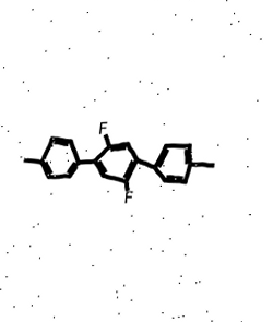 Cc1ccc(-c2cc(F)c(-c3ccc(C)cc3)cc2F)cc1